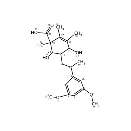 COc1cc(OC)cc(C(C)CC2C(O)C(C)=C(C)C(C)(C(=O)O)C2O)c1